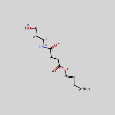 CCCCCCCCCCC=COC(=O)CCC(=O)NCCCO